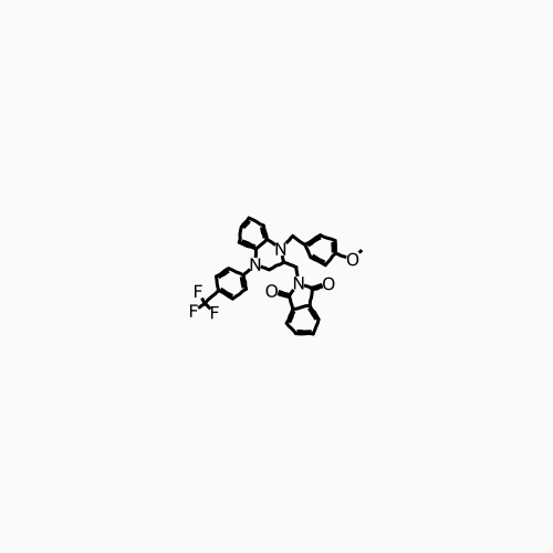 COc1ccc(CN2c3ccccc3N(c3ccc(C(F)(F)F)cc3)CC2CN2C(=O)c3ccccc3C2=O)cc1